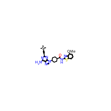 COc1cccc2sc(NC(=O)C3CCC(n4cnc5c(N)nc(C#C[Si](C)(C)C)nc54)CC3)nc12